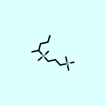 CCCC(C)[N+](C)(C)CCC[N+](C)(C)C